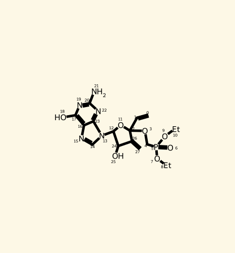 C=CC1(OCP(=O)(OCC)OCC)OC(n2cnc3c(O)nc(N)nc32)C(O)C1=C